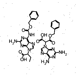 CCC(C(=O)O)n1cnc2c(NC(=O)OCc3ccccc3)nc(N)nc21.Nc1nc(N)c2ncn(C(C(=O)O)C(=O)OCc3ccccc3)c2n1